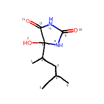 CC(C)CC(C)C1(O)NC(=O)NC1=O